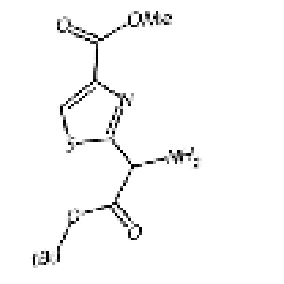 COC(=O)c1csc(C(N)C(=O)OC(C)(C)C)n1